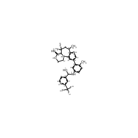 Cc1ccc(NC(O)c2ccnc(C(F)(F)F)c2)cc1-c1cnc2c(c1)N1CCOC(=N)C1C(F)(F)CC2C